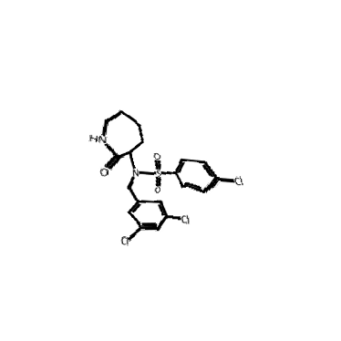 O=C1NCCCCC1N(Cc1cc(Cl)cc(Cl)c1)S(=O)(=O)c1ccc(Cl)cc1